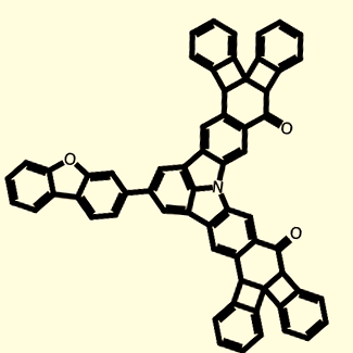 O=C1c2cc3c(cc2C2c4ccccc4C24c2ccccc2C14)c1cc(-c2ccc4c(c2)oc2ccccc24)cc2c4cc5c(cc4n3c12)C(=O)C1c2ccccc2C12c1ccccc1C52